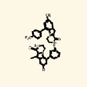 Cc1c2n(c3c(-c4cccc(F)c4)cc(Cl)cc13)CCNC2=O.N#Cc1cc(-c2ccc(C(F)(F)F)cc2)c2c(c1)cc1n2CCNC1=O